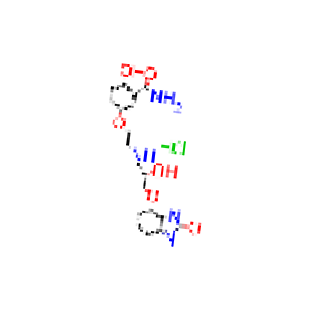 Cl.NC(=O)c1cc(OCCNCC(O)COc2cccc3c2=NC(=O)N=3)ccc1O